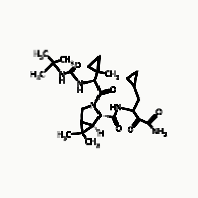 CC(C)(C)NC(=O)N[C@H](C(=O)N1CC2[C@@H]([C@H]1C(=O)NC(CC1CC1)C(=O)C(N)=O)C2(C)C)C1(C)CC1